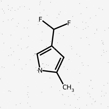 CC1=CC(C(F)F)=[C][N]1